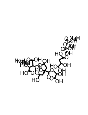 CC(O)C(=O)O.O=C(O)C(O)C(O)C(=O)O.O=C(O)CC(O)(CC(=O)O)C(=O)O.O=C(O)CC(O)C(=O)O.O=P(O)(O)OP(=O)(O)O.[NaH].[NaH].[NaH].[NaH].[NaH]